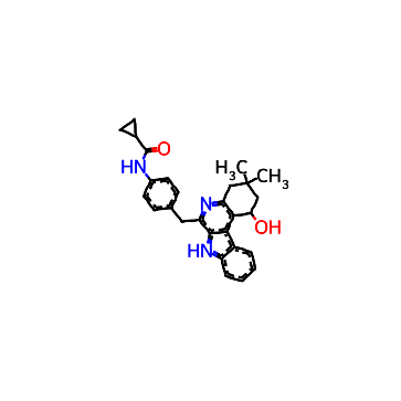 CC1(C)Cc2nc(Cc3ccc(NC(=O)C4CC4)cc3)c3[nH]c4ccccc4c3c2C(O)C1